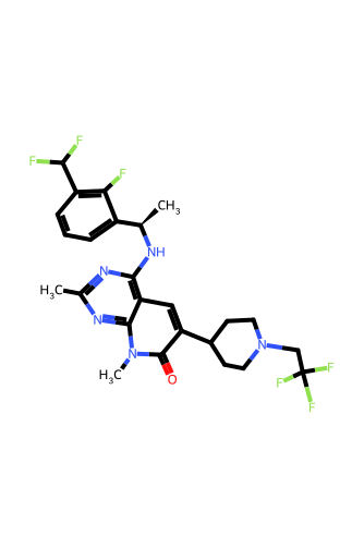 Cc1nc(N[C@H](C)c2cccc(C(F)F)c2F)c2cc(C3CCN(CC(F)(F)F)CC3)c(=O)n(C)c2n1